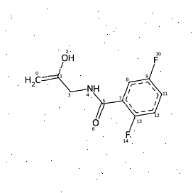 C=C(O)CNC(=O)c1cc(F)ccc1F